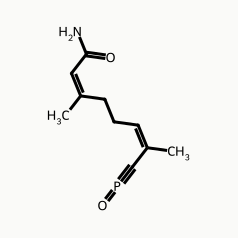 CC(C#P=O)=CCC/C(C)=C\C(N)=O